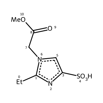 CCc1nc(S(=O)(=O)O)cn1CC(=O)OC